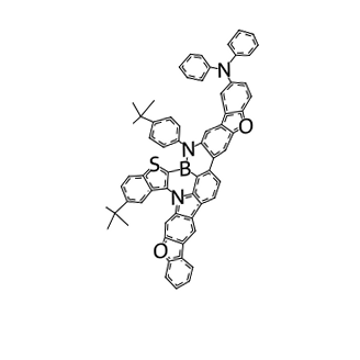 CC(C)(C)c1ccc(N2B3c4sc5ccc(C(C)(C)C)cc5c4-n4c5cc6oc7ccccc7c6cc5c5ccc(c3c54)-c3cc4oc5ccc(N(c6ccccc6)c6ccccc6)cc5c4cc32)cc1